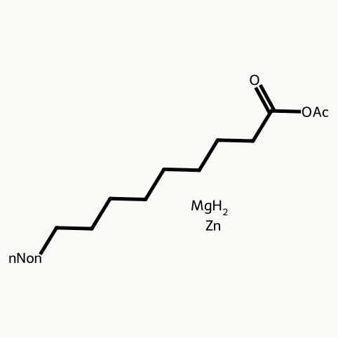 CCCCCCCCCCCCCCCCCC(=O)OC(C)=O.[MgH2].[Zn]